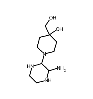 NC1NCCNC1N1CCC(O)(CO)CC1